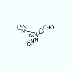 O=Cc1ccc(-c2cnc(N3CCOCC3)c3nc(/C=C/c4ccc5ccccc5n4)cn23)cc1